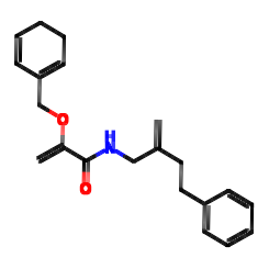 C=C(CCc1ccccc1)CNC(=O)C(=C)OCC1=CCCC=C1